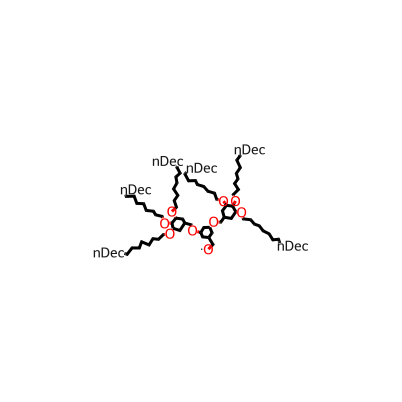 CCCCCCCCCCCCCCCCCCOC1CC(COC2CC(C[O])CC(OCC3CC(OCCCCCCCCCCCCCCCCCC)C(OCCCCCCCCCCCCCCCCCC)C(OCCCCCCCCCCCCCCCCCC)C3)C2)CC(OCCCCCCCCCCCCCCCCCC)C1OCCCCCCCCCCCCCCCCCC